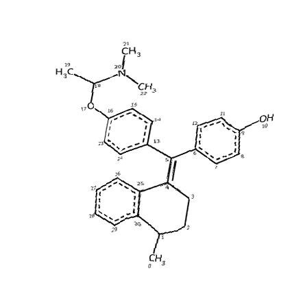 CC1CCC(=C(c2ccc(O)cc2)c2ccc(OC(C)N(C)C)cc2)c2ccccc21